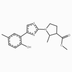 COC(=O)C1CCN(c2nc(-c3cc(C)ccc3O)cs2)C1C